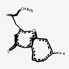 COC(=O)c1cc(=O)c2ccc(S)cc2o1